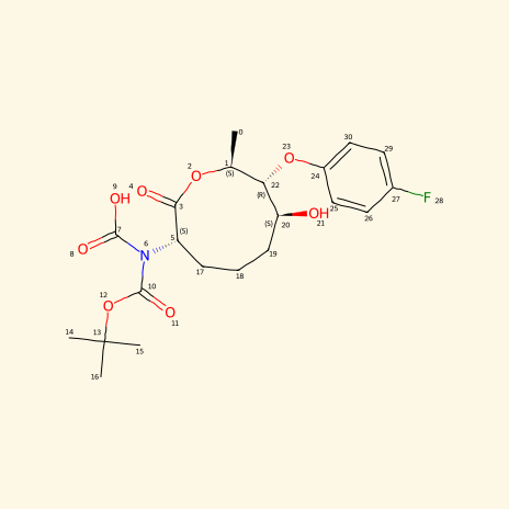 C[C@@H]1OC(=O)[C@@H](N(C(=O)O)C(=O)OC(C)(C)C)CCC[C@H](O)[C@H]1Oc1ccc(F)cc1